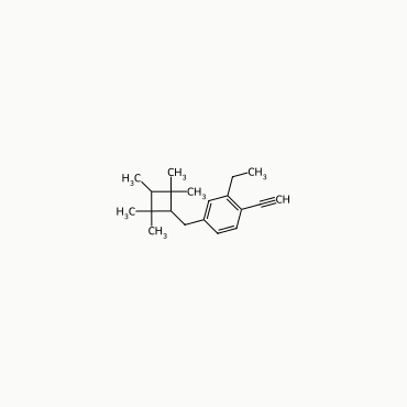 C#Cc1ccc(CC2C(C)(C)C(C)C2(C)C)cc1CC